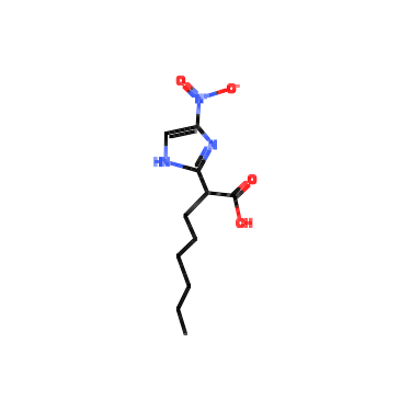 CCCCCCC(C(=O)O)c1nc([N+](=O)[O-])c[nH]1